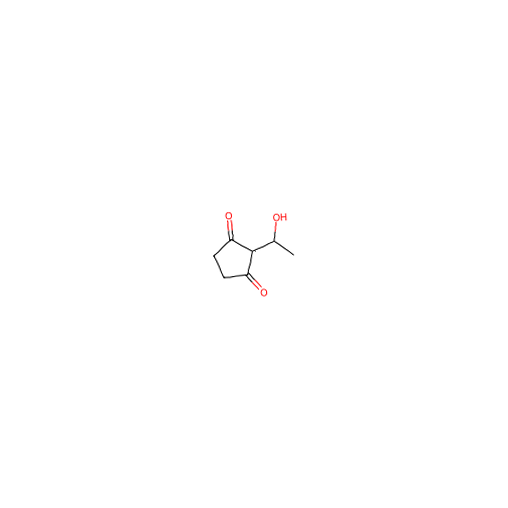 CC(O)[C]1C(=O)CCC1=O